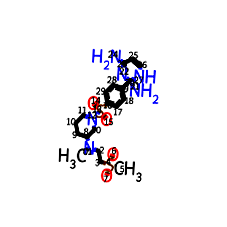 CN(CCS(C)(=O)=O)C1CCCN(S(=O)(=O)c2ccc(C3(N)N=C(N)C=CN3)cc2)C1